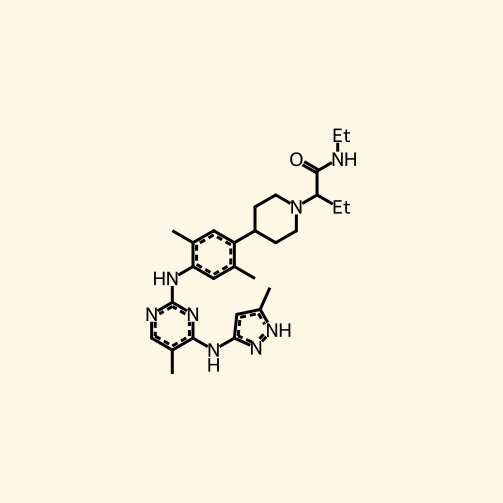 CCNC(=O)C(CC)N1CCC(c2cc(C)c(Nc3ncc(C)c(Nc4cc(C)[nH]n4)n3)cc2C)CC1